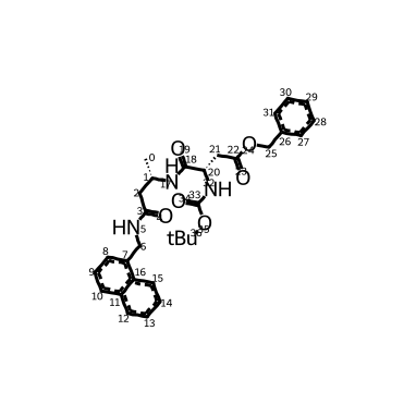 C[C@@H](CC(=O)NCc1cccc2ccccc12)NC(=O)[C@H](CC(=O)OCc1ccccc1)NC(=O)OC(C)(C)C